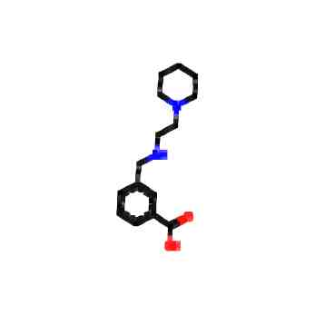 O=C(O)c1cccc(CNCCN2CCCCC2)c1